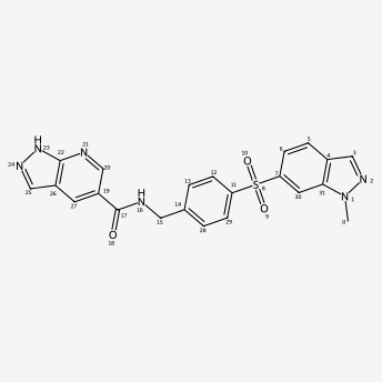 Cn1ncc2ccc(S(=O)(=O)c3ccc(CNC(=O)c4cnc5[nH]ncc5c4)cc3)cc21